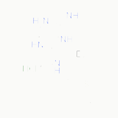 CCC(NC(=N)NC(=N)N)c1cccs1.Cl